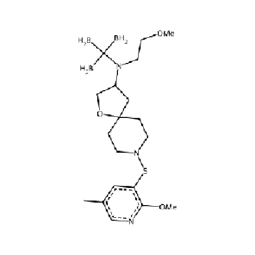 BC(B)(B)N(CCOC)C1COC2(CCN(Sc3cc(C)cnc3OC)CC2)C1